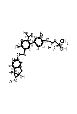 CC(=O)[C@H]1[C@@H]2Cc3cc(OCc4cc(-c5ccc(OCCC(C)(C)O)c(F)c5)c(C(F)F)cc4F)ncc3[C@@H]21